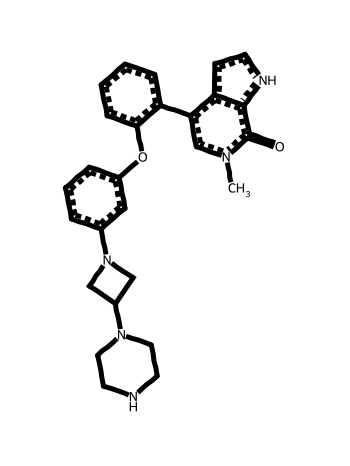 Cn1cc(-c2ccccc2Oc2cccc(N3CC(N4CCNCC4)C3)c2)c2cc[nH]c2c1=O